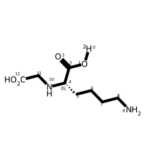 [2H]OC(=O)[C@H](CCCCN)NCC(=O)O